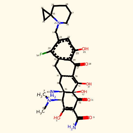 CN(C)[C@@H]1C(O)=C(C(N)=O)C(=O)[C@@]2(O)C(O)=C3C(=O)c4c(O)cc(CN5CCCCC56CC6)c(F)c4CC3C[C@@]12N